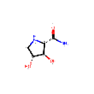 NC(=O)[C@H]1NC[C@@H](O)[C@@H]1O